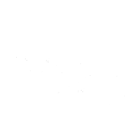 COc1ccc(S(=O)(=O)Nc2ccc(C)c(C)c2)cc1N1CCN(C)CC1.Cl